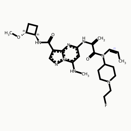 C=C(Nc1cc(NC)n2ncc(C(=O)N[C@@H]3CC[C@H]3OC)c2n1)C(=O)N(/C=C\C)C1CCN(CCF)CC1